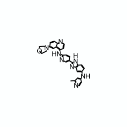 Cc1cc(Nc2ccc3[nH]c(-c4ccc(Nc5ccnc6ccc(N7CCOCC7)cc56)nc4)nc3c2)ccn1